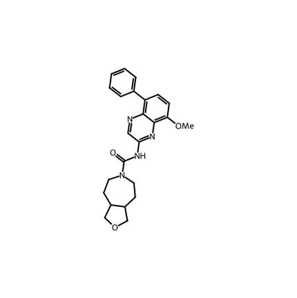 COc1ccc(-c2ccccc2)c2ncc(NC(=O)N3CCC4COCC4CC3)nc12